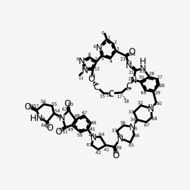 Cc1cc2cc(n1)-c1cnn(C)c1OCCC[C@@H](C)CN1/C(=N/C2=O)Nc2ccc(CN3CCC(N4CCN(C(=O)C5CCN(c6ccc7c(c6)C(=O)N(C6CCC(=O)NC6=O)C7=O)C5)CC4)CC3)cc21